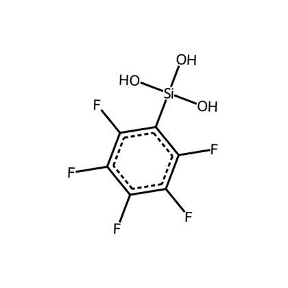 O[Si](O)(O)c1c(F)c(F)c(F)c(F)c1F